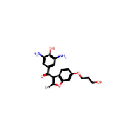 CCc1oc2cc(OCCCO)ccc2c1C(=O)c1cc(N)c(O)c(N)c1